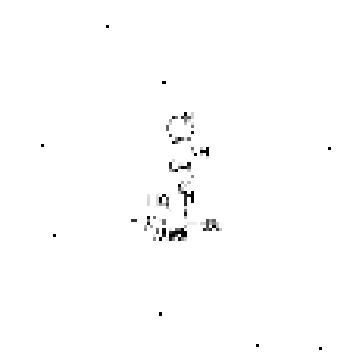 CO[C@H](/C(=N/OCC(=O)Nc1cccnc1)[C@@H](O)[C@@H](C)O)C(C)(C)C